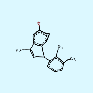 CC1=CC(c2cccc(C)c2C)c2ccc(Br)cc21